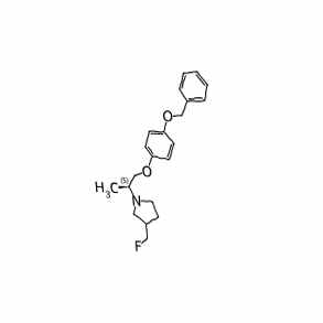 C[C@@H](COc1ccc(OCc2ccccc2)cc1)N1CCC(CF)C1